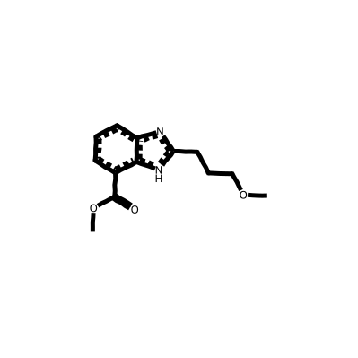 COCCCc1nc2cccc(C(=O)OC)c2[nH]1